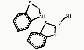 SS.c1ccc2c(c1)NSS2.c1ccc2c(c1)NSS2